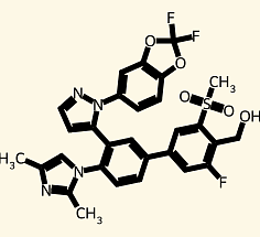 Cc1cn(-c2ccc(-c3cc(F)c(CO)c(S(C)(=O)=O)c3)cc2-c2ccnn2-c2ccc3c(c2)OC(F)(F)O3)c(C)n1